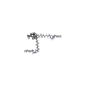 CCCCC/C=C\C/C=C\CCCCCCCCC1(CCCCCCCC/C=C\C/C=C\CCCCC)O[C@@H]2C3CC(C(N(C)C)C3)[C@@H]2O1